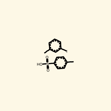 Cc1ccc(S(=O)(=O)O)cc1.Cc1cccc(I)c1